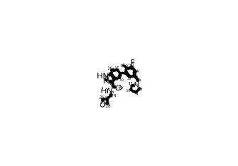 Cc1c(F)cc(CN2CCCC2)cc1-c1ccc2[nH]nc(C(=O)NCC3COC3)c2c1